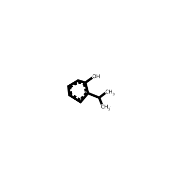 [CH2]C(C)c1ccccc1O